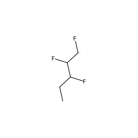 CCC(F)C(F)[CH]F